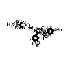 Cn1nc(OCCOc2ncc(S(C)(=O)=O)cn2)c(-c2ccc3c(c2)OCO3)c1NS(=O)(=O)c1ccc(C(C)(C)C)cc1